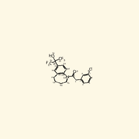 O=C(Cc1cccc(Cl)c1)N1CCCCc2cc(C(O)(C(F)(F)F)C(F)(F)F)ccc21